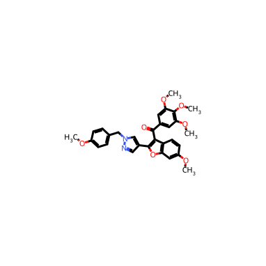 COc1ccc(Cn2cc(-c3oc4cc(OC)ccc4c3C(=O)c3cc(OC)c(OC)c(OC)c3)cn2)cc1